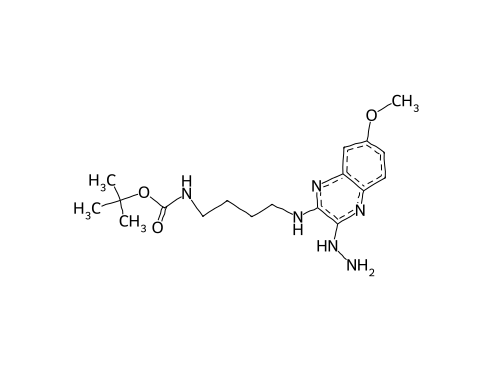 COc1ccc2nc(NN)c(NCCCCNC(=O)OC(C)(C)C)nc2c1